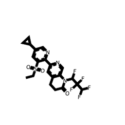 CCS(=O)(=O)c1cc(C2CC2)cnc1-c1cc2c(cn1)N(C(F)C(F)(F)C(F)F)C(=O)CC2